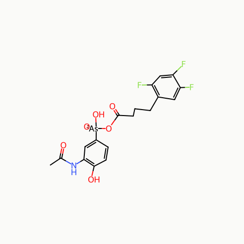 CC(=O)Nc1cc([As](=O)(O)OC(=O)CCCc2cc(F)c(F)cc2F)ccc1O